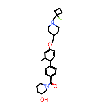 CC1C=C(OCC2CCN(CC3(F)CCC3)CC2)C=CC1c1ccc(C(=O)N2CCC[C@@H](O)C2)cc1